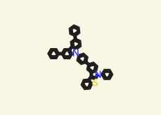 c1ccc(-c2ccc3c(c2)c2cc(-c4ccccc4)ccc2n3-c2ccc(-c3ccc4c(c3)c3c5ccccc5sc3n4-c3ccccc3)cc2)cc1